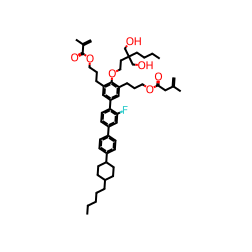 C=C(C)CC(=O)OCCCc1cc(-c2ccc(-c3ccc(C4CCC(CCCCC)CC4)cc3)cc2F)cc(CCCOC(=O)C(=C)C)c1OCCC(CO)(CO)CCCC